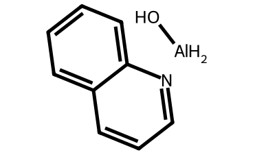 [OH][AlH2].c1ccc2ncccc2c1